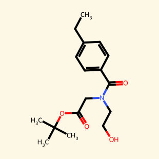 CCc1ccc(C(=O)N(CCO)CC(=O)OC(C)(C)C)cc1